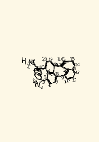 CN(C)C(=O)c1ccc2c3cccc4cccc(c5ccc(C(N)=O)c1c52)c43